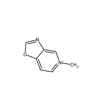 C[n+]1ccc2ocnc2c1